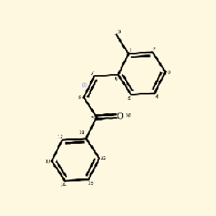 Cc1ccccc1/C=C\C(=O)c1ccccc1